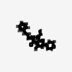 CCSc1nc(N2CCOCC2)cc(C)c1C(=O)NCCCc1ccccc1